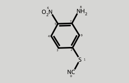 N#CSc1ccc([N+](=O)[O-])c(N)c1